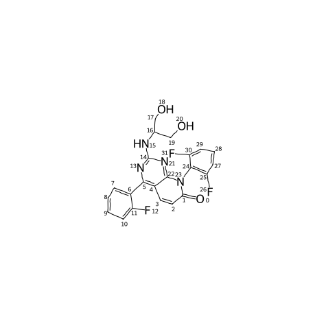 O=c1ccc2c(-c3ccccc3F)nc(NC(CO)CO)nc2n1-c1c(F)cccc1F